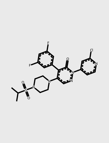 CC(C)S(=O)(=O)N1CCN(c2cnn(-c3ccnc(Cl)c3)c(=O)c2-c2cc(F)cc(F)c2)CC1